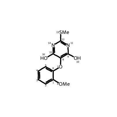 COc1ccccc1Oc1c(O)nc(SC)nc1O